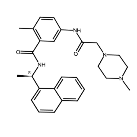 Cc1ccc(NC(=O)CN2CCN(C)CC2)cc1C(=O)N[C@H](C)c1cccc2ccccc12